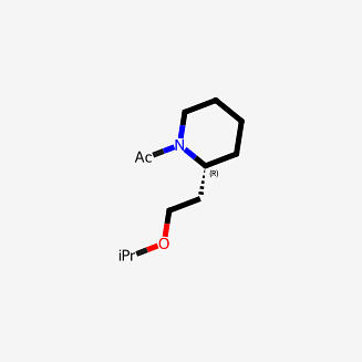 CC(=O)N1CCCC[C@@H]1CCOC(C)C